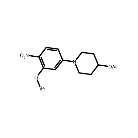 CC(=O)OC1CCN(c2ccc([N+](=O)[O-])c(OC(C)C)c2)CC1